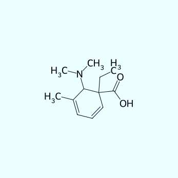 CCC1(C(=O)O)C=CC=C(C)C1N(C)C